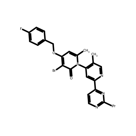 Cc1cnc(-c2ccnc(C(C)C)n2)cc1-n1c(C)cc(OCc2ccc(F)cc2)c(Br)c1=O